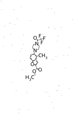 CCOC(=O)c1cc2c(C)c(N3CCN(C(=O)C(F)(F)F)CC3)ccc2o1